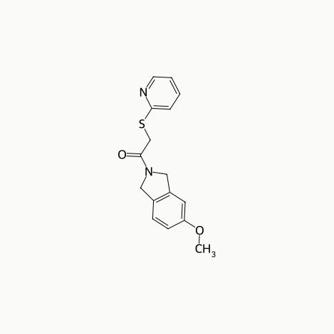 COc1ccc2c(c1)CN(C(=O)CSc1ccccn1)C2